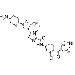 C[C@@H]1CNC[C@H](C)N1C(=O)c1ccc(NC(=O)c2ncc(-c3cn(-c4ccc(N)cn4)nc3C(F)(F)F)n2C)cc1Cl